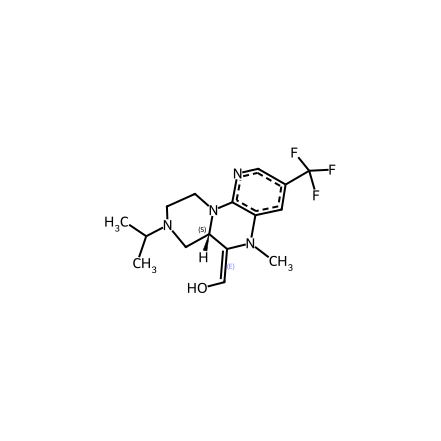 CC(C)N1CCN2c3ncc(C(F)(F)F)cc3N(C)/C(=C/O)[C@@H]2C1